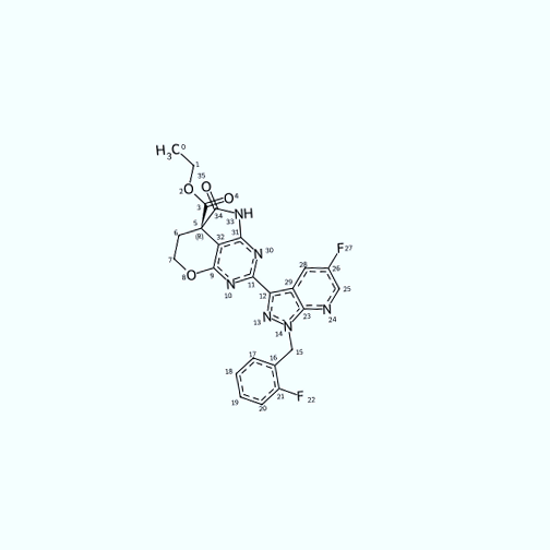 CCOC(=O)[C@]12CCOc3nc(-c4nn(Cc5ccccc5F)c5ncc(F)cc45)nc(c31)NC2=O